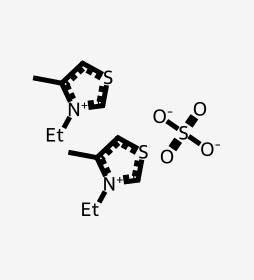 CC[n+]1cscc1C.CC[n+]1cscc1C.O=S(=O)([O-])[O-]